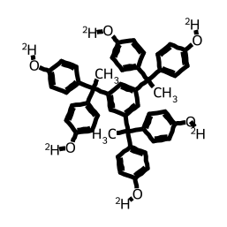 [2H]Oc1ccc(C(C)(c2ccc(O[2H])cc2)c2cc(C(C)(c3ccc(O[2H])cc3)c3ccc(O[2H])cc3)cc(C(C)(c3ccc(O[2H])cc3)c3ccc(O[2H])cc3)c2)cc1